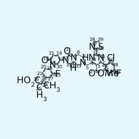 COC(=O)C1=C(CN2CCN3C(=O)N(c4ccc(=O)n(-c5ccc(C(C)(C)C(=O)O)cc5F)c4)C[C@@H]3C2)NC(c2nccs2)=N[C@H]1c1ccc(F)cc1Cl